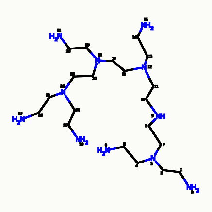 NCCN(CCN)CCNCCN(CCN)CCN(CCN)CCN(CCN)CCN